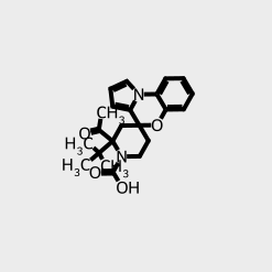 CC(=O)C1(C(C)(C)C)CC2(CCN1C(=O)O)Oc1ccccc1-n1cccc12